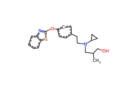 CC(CO)CN(CCc1ccc(Oc2nc3ccccc3s2)cc1)C1CC1